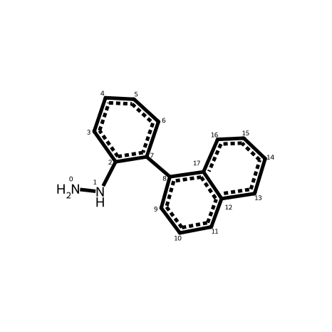 NNc1ccccc1-c1cccc2ccccc12